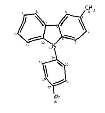 Cc1ccc2c(c1)c1ccccc1n2-c1ccc(C(C)C)cc1